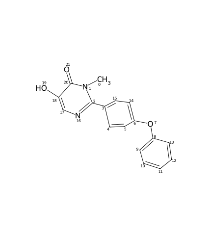 Cn1c(-c2ccc(Oc3ccccc3)cc2)ncc(O)c1=O